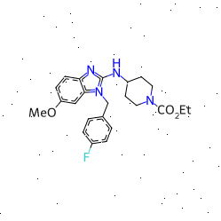 CCOC(=O)N1CCC(Nc2nc3ccc(OC)cc3n2Cc2ccc(F)cc2)CC1